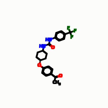 CC(=O)c1ccc(O[C@H]2CC[C@H](NC(=O)Nc3ccc(C(F)(F)F)cc3)CC2)cc1